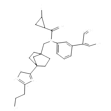 C=C(C1CC1F)N(CC12CCC(C3=NC(CCC)=NC3)(CC1)C2)c1cccc(/C(C=N)=C/C)c1